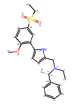 CCN(Cc1ccc(-c2cc(S(=O)(=O)CC)ccc2OC)[nH]1)[C@@H](C)c1ccccc1